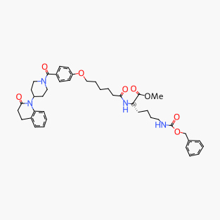 COC(=O)[C@H](CCCCNC(=O)OCc1ccccc1)NC(=O)CCCCCOc1ccc(C(=O)N2CCC(N3C(=O)CCc4ccccc43)CC2)cc1